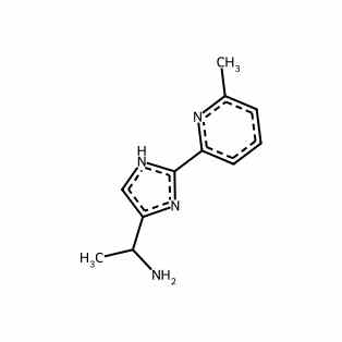 Cc1cccc(-c2nc(C(C)N)c[nH]2)n1